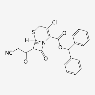 N#CCC(=O)C1C(=O)N2C(C(=O)OC(c3ccccc3)c3ccccc3)=C(Cl)CS[C@H]12